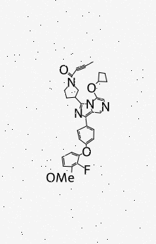 CC#CC(=O)N1CCC(c2nc(-c3ccc(Oc4cccc(OC)c4F)cc3)c3cncc(OC4CCC4)n23)C1